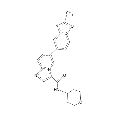 Cc1nc2cc(-c3ccc4ncc(C(=O)NC5CCOCC5)n4c3)ccc2o1